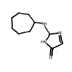 O=C1C=NC(NC2CCCCCC2)N1